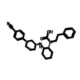 N#Cc1ccc(N2CCC[C@H](N[C@@H]3CCCC[C@H]3N(CCc3ccccc3)C(=O)O)C2)cc1